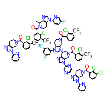 CC1c2ncn(-c3ccc(F)cn3)c2CCN1C(=O)c1cccc(C(F)(F)F)c1Cl.O=C(c1cccc(C(F)(F)F)c1Cl)N1CCc2c(ncn2-c2cc(F)cc(F)c2)C1.O=C(c1cccc(C(F)(F)F)c1Cl)N1CCc2ncn(-c3ccccn3)c2C1.O=C(c1cccc(C(F)(F)F)c1Cl)N1CCc2ncn(-c3cnccn3)c2C1.O=C(c1cccc(Cl)c1Cl)N1CCc2ncn(-c3ccccn3)c2C1